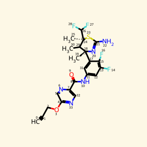 C#CCOc1cnc(C(=O)Nc2cc(F)c(F)c([C@@]3(C)N=C(N)S[C@](C)(C(F)F)C3C)c2)cn1